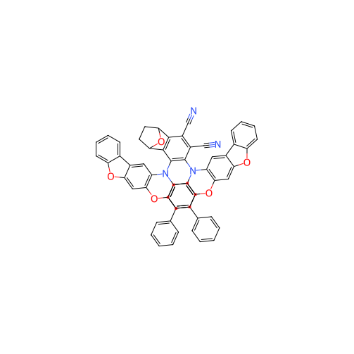 N#Cc1c(C#N)c(N2c3ccc(-c4ccccc4)cc3Oc3cc4oc5ccccc5c4cc32)c(N2c3ccc(-c4ccccc4)cc3Oc3cc4oc5ccccc5c4cc32)c2c1C1CCC2O1